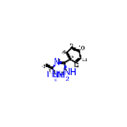 C=C(N)/N=C(\NN)c1ccccc1